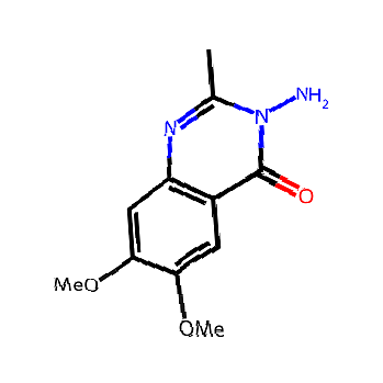 COc1cc2nc(C)n(N)c(=O)c2cc1OC